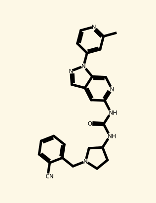 Cc1cc(-n2ncc3cc(NC(=O)NC4CCN(Cc5ccccc5C#N)C4)ncc32)ccn1